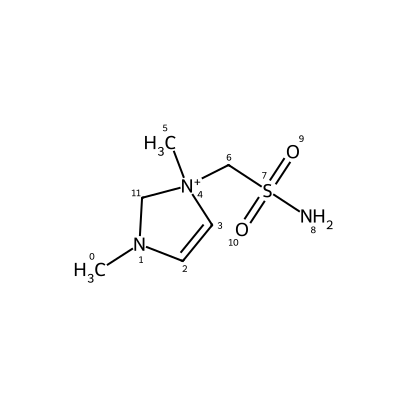 CN1C=C[N+](C)(CS(N)(=O)=O)C1